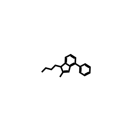 CCCCC1C(C)=Cc2c(-c3ccccc3)cccc21